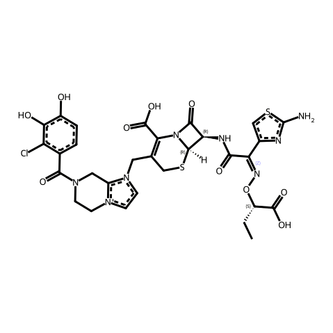 CC[C@H](O/N=C(\C(=O)N[C@@H]1C(=O)N2C(C(=O)O)=C(Cn3cc[n+]4c3CN(C(=O)c3ccc(O)c(O)c3Cl)CC4)CS[C@H]12)c1csc(N)n1)C(=O)O